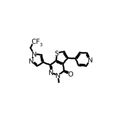 Cn1nc(-c2cnn(CC(F)(F)F)c2)c2scc(-c3ccncc3)c2c1=O